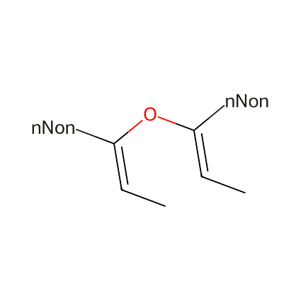 CC=C(CCCCCCCCC)OC(=CC)CCCCCCCCC